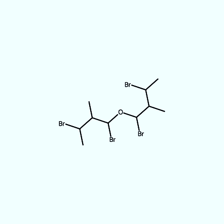 CC(Br)C(C)C(Br)OC(Br)C(C)C(C)Br